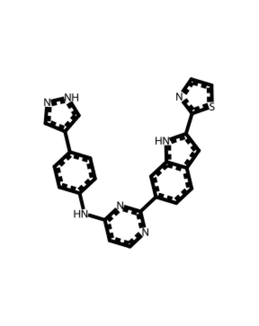 c1cc(Nc2ccc(-c3cn[nH]c3)cc2)nc(-c2ccc3cc(-c4nccs4)[nH]c3c2)n1